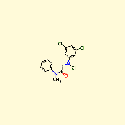 CN(C(=O)CN(Cl)c1cc(Cl)cc(Cl)c1)c1ccccc1